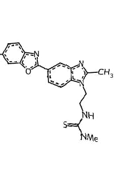 CNC(=S)NCCn1c(C)nc2cc(-c3nc4ccccc4o3)ccc21